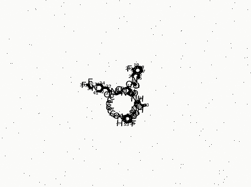 C=C[C@@H]1C[C@@]12NC(=O)[C@@H]1C[C@@H](OC(=O)N3Cc4cccc(F)c4C3)CN1C(=O)[C@@H](NC(=O)CC1CCN(CC(F)F)CC1)CCCCCCCNc1ccc(F)cc1S(=O)(=O)NC2=O